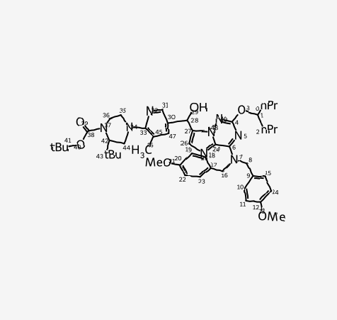 CCCC(CCC)Oc1nc(N(Cc2ccc(OC)cc2)Cc2ccc(OC)cc2)c2ncc(C(O)c3cnc(N4CCN(C(=O)OC(C)(C)C)C(C(C)(C)C)C4)c(C)c3)n2n1